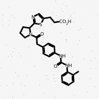 Cc1ccccc1NC(=O)Nc1ccc(CC(=O)N2CCCC2c2ncc(CCC(=O)O)s2)cc1